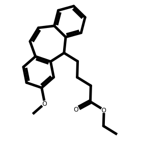 CCOC(=O)CCCC1c2ccccc2C=Cc2ccc(OC)cc21